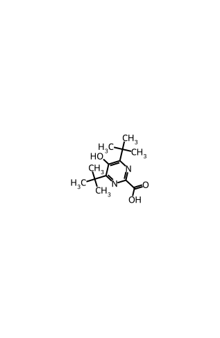 CC(C)(C)c1nc(C(=O)O)nc(C(C)(C)C)c1O